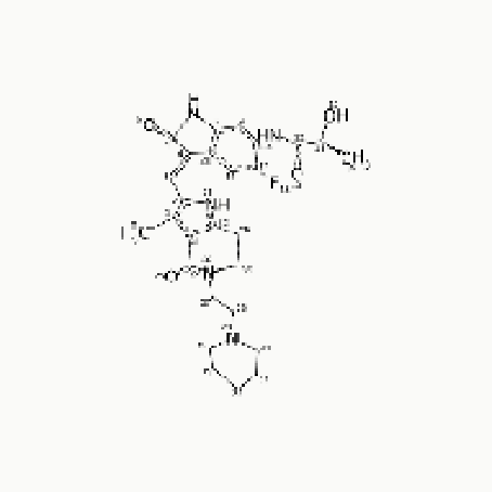 Cc1c(/C=C2/C(=O)Nc3cc(NC(=O)[C@H](C)O)c(F)cc32)[nH]c2c1C(=O)N(CCN1CCCCC1)CC2